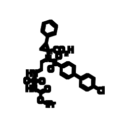 CC(C)OC(=O)NS(=O)(=O)NCCN([C@]1(C(=O)O)CC1c1ccccc1)S(=O)(=O)c1ccc(-c2ccc(Cl)cc2)cc1